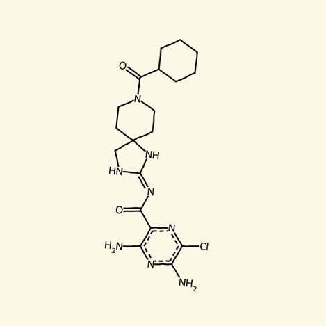 Nc1nc(N)c(C(=O)/N=C2\NCC3(CCN(C(=O)C4CCCCC4)CC3)N2)nc1Cl